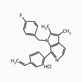 C=Cc1ccc(-c2nccc3c(C)c(C)n(Cc4ccc(F)cc4)c23)cc1.Cl